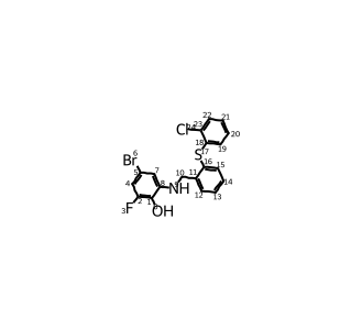 Oc1c(F)cc(Br)cc1NCc1ccccc1Sc1ccccc1Cl